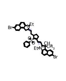 CCN1/C(=C/CC2CCC(/C=C/C3=[N+](CC)c4ccc5cc(Br)ccc5c4C3(C)C)=C2S(=O)(=O)c2ccccc2)Cc2c1ccc1cc(Br)ccc21